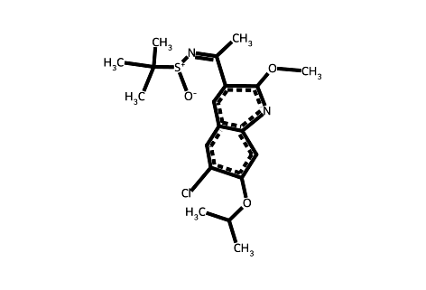 COc1nc2cc(OC(C)C)c(Cl)cc2cc1/C(C)=N\[S+]([O-])C(C)(C)C